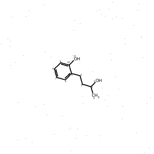 CC(O)CCc1ccccc1O